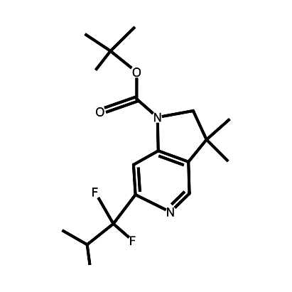 CC(C)C(F)(F)c1cc2c(cn1)C(C)(C)CN2C(=O)OC(C)(C)C